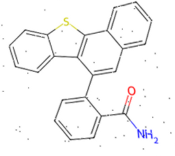 NC(=O)c1ccccc1-c1cc2ccccc2c2sc3ccccc3c12